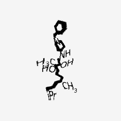 CC(C)CCCC(C)CCCC(C)(O)C(O)CNC1CCN(Cc2ccccc2)CC1